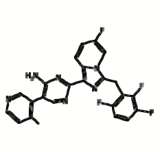 Cc1ccncc1-c1cnc(-c2nc(Cc3c(F)ccc(F)c3F)n3cc(F)ccc23)nc1N